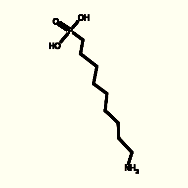 NCCCCCCCCCP(=O)(O)O